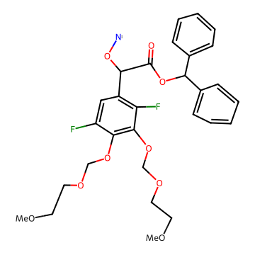 COCCOCOc1c(F)cc(C(O[N])C(=O)OC(c2ccccc2)c2ccccc2)c(F)c1OCOCCOC